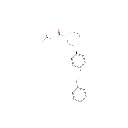 CC(Cl)OC(=O)N1CCO[C@@H](c2ccc(OCc3ccccc3)cc2)C1